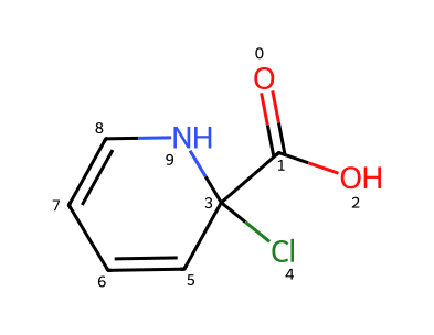 O=C(O)C1(Cl)C=CC=CN1